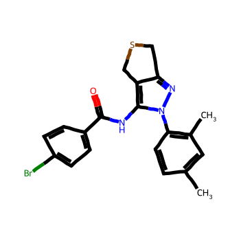 Cc1ccc(-n2nc3c(c2NC(=O)c2ccc(Br)cc2)CSC3)c(C)c1